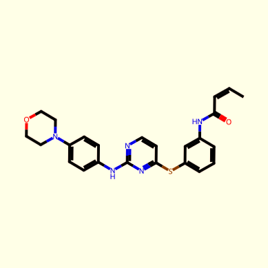 C/C=C\C(=O)Nc1cccc(Sc2ccnc(Nc3ccc(N4CCOCC4)cc3)n2)c1